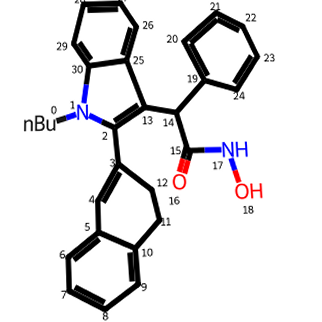 CCCCn1c(C2=Cc3ccccc3CC2)c(C(C(=O)NO)C2=C=C=CC=C2)c2ccccc21